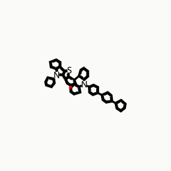 c1ccc(-c2ccc(-c3ccc(N(c4ccccc4)c4ccccc4-c4cccc5c4sc4c6ccccc6n(-c6ccccc6)c54)cc3)cc2)cc1